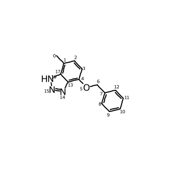 Cc1ccc(OCc2ccccc2)c2nn[nH]c12